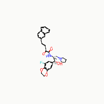 O=C(CCc1ccc2ccccc2c1)C(=O)N[C@H](CN1CCCC1)[C@@H](O)c1cc(F)c2c(c1)OCCO2